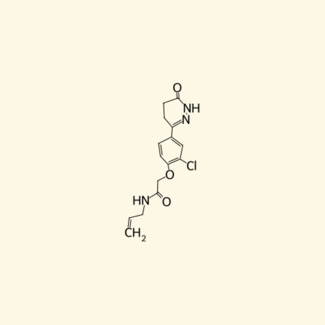 C=CCNC(=O)COc1ccc(C2=NNC(=O)CC2)cc1Cl